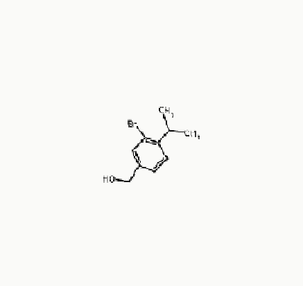 CC(C)c1ccc(CO)cc1Br